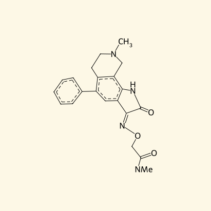 CNC(=O)CON=C1C(=O)Nc2c1cc(-c1ccccc1)c1c2CN(C)CC1